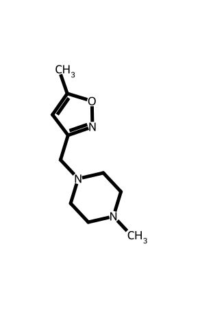 Cc1cc(CN2CCN(C)CC2)no1